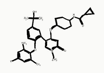 Cc1cc(F)cc(C)c1Oc1ccc(C(C)(C)O)cc1-c1cn(C)c(=O)cc1OC1CCC(NC(=O)C2CC2)CC1